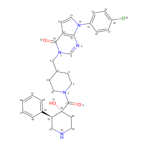 O=C(N1CCC(Cn2cnc3c(ccn3-c3ccc(Cl)cc3)c2=O)CC1)[C@@]1(O)CCNC[C@H]1c1ccccc1